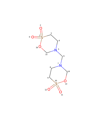 O=S1(=O)CCN(CN2CCS(=O)(=O)OC2)CO1